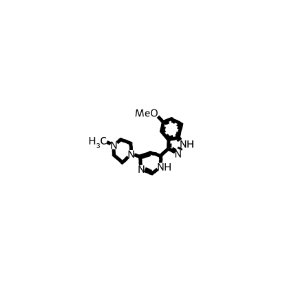 COc1ccc2[nH]nc(C3C=C(N4CCN(C)CC4)N=CN3)c2c1